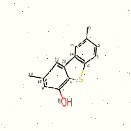 Cc1ccc2sc3c(O)cc(C)cc3c2c1